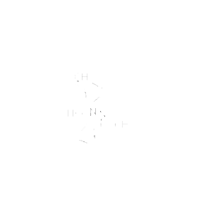 CCC1=NN(c2cccc(SC)c2)B(O)c2ccccc21